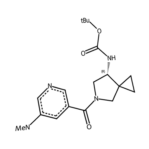 CNc1cncc(C(=O)N2C[C@H](NC(=O)OC(C)(C)C)C3(CC3)C2)c1